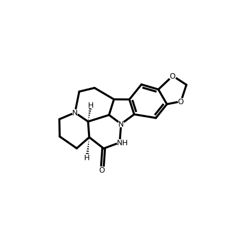 O=C1NN2c3cc4c(cc3C3CCN5CCC[C@H]1[C@@H]5C32)OCO4